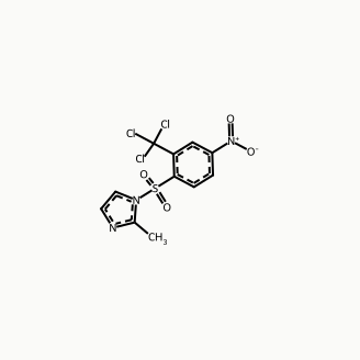 Cc1nccn1S(=O)(=O)c1ccc([N+](=O)[O-])cc1C(Cl)(Cl)Cl